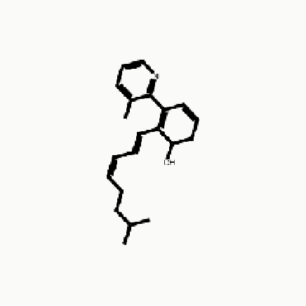 Cc1cccnc1C1=C(/C=C/C=C\CCC(C)C)C(O)CC=C1